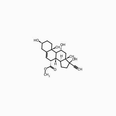 C#CC1(O)CC[C@H]2[C@H]3C([C@H](O)C[C@@]21C)[C@@]1(C)CC[C@H](O)CC1=C[C@H]3C(=O)OC